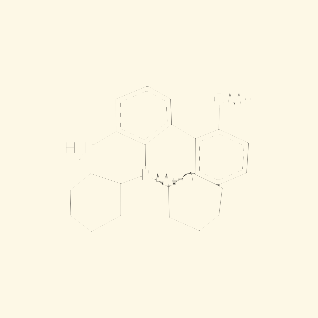 COc1cccc(OC)c1-c1cccc(P)c1P(C1CCCCC1)C1CCCCC1